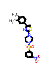 Cc1ccc(-c2csc(N3CCN(S(=O)(=O)c4cccc([N+](=O)[O-])c4)CC3)n2)cc1C